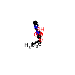 CCCCCCC(CC)Oc1ccc2c(c1)OCCN(CC(O)CN1CCc3ccccc3C1)C2=O